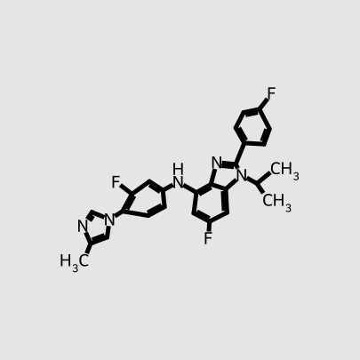 Cc1cn(-c2ccc(Nc3cc(F)cc4c3nc(-c3ccc(F)cc3)n4C(C)C)cc2F)cn1